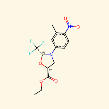 CCOC(=O)[C@@H]1CN(c2ccc([N+](=O)[O-])c(C)c2)[C@@H](C(F)(F)F)O1